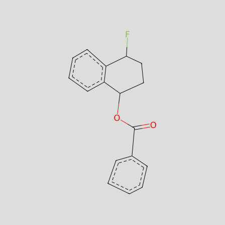 O=C(OC1CCC(F)c2ccccc21)c1ccccc1